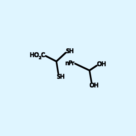 CCCC(O)O.O=C(O)C(S)S